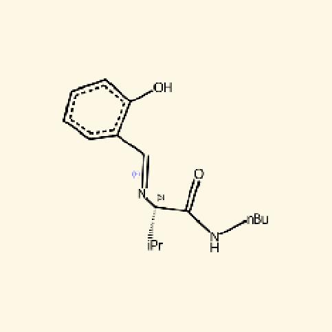 CCCCNC(=O)[C@@H](/N=C/c1ccccc1O)C(C)C